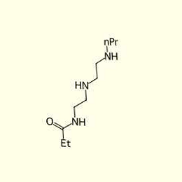 CCCNCCNCCNC(=O)CC